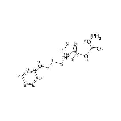 O=C(OP)OC1C[N+]2(CCCOc3ccccc3)CCC1CC2